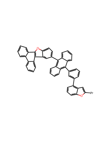 CC(C)c1cc2c(-c3cccc(-c4c5ccccc5c(-c5ccc6oc7c8ccccc8c8ccccc8c7c6c5)c5ccccc45)c3)cccc2o1